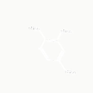 CCCCCCCCCc1c[c]c(CCCCCCCCC)c(CCCCCCCCC)c1